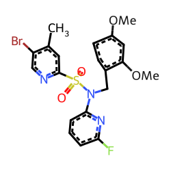 COc1ccc(CN(c2cccc(F)n2)S(=O)(=O)c2cc(C)c(Br)cn2)c(OC)c1